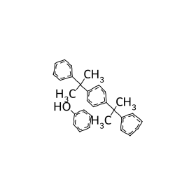 CC(C)(c1ccccc1)c1ccc(C(C)(C)c2ccccc2)cc1.Oc1ccccc1